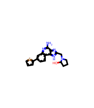 Nc1nc2cc(-c3cccs3)ccc2c2[nH]c(CN3CCCC3O)nc12